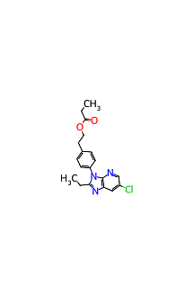 CCC(=O)OCCc1ccc(-n2c(CC)nc3cc(Cl)cnc32)cc1